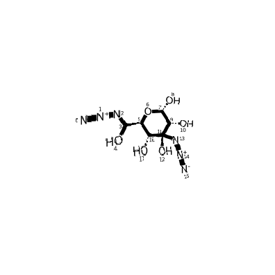 [N-]=[N+]=NC(O)[C@H]1O[C@H](O)[C@H](O)[C@](O)(N=[N+]=[N-])[C@@H]1O